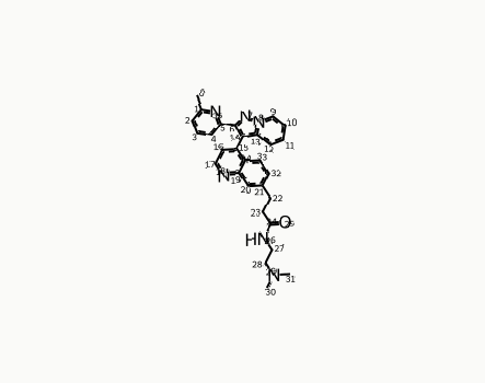 Cc1cccc(-c2nn3ccccc3c2-c2ccnc3cc(CCC(=O)NCCN(C)C)ccc23)n1